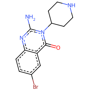 Nc1nc2ccc(Br)cc2c(=O)n1C1CCNCC1